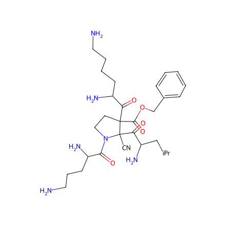 CC(C)CC(N)C(=O)C1(C#N)N(C(=O)C(N)CCCN)CCC1(C(=O)OCc1ccccc1)C(=O)C(N)CCCCN